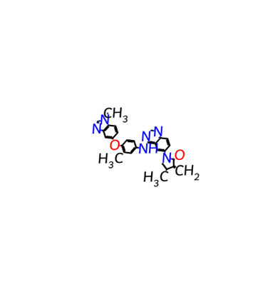 C=C1C(=O)N(c2ccc3ncnc(Nc4ccc(Oc5ccc6c(c5)ncn6C)c(C)c4)c3c2)C[C@@H]1C